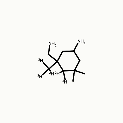 [2H]C([2H])([2H])C1(CN)CC(N)CC(C)(C)C1([2H])[2H]